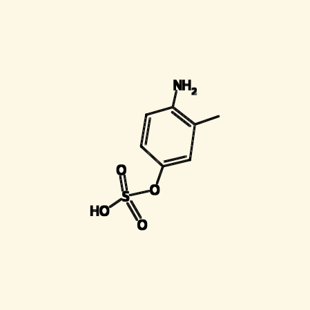 Cc1cc(OS(=O)(=O)O)ccc1N